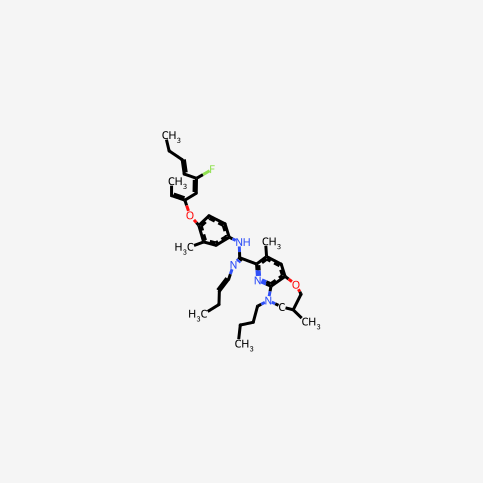 C\C=C(/C=C(F)\C=C\CC)Oc1ccc(N/C(=N/C=C/CC)c2nc3c(cc2C)OCC(C)CN3CCCC)cc1C